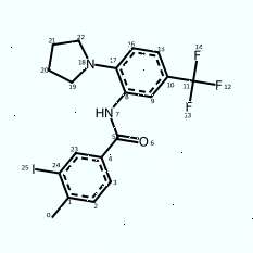 Cc1ccc(C(=O)Nc2cc(C(F)(F)F)ccc2N2CCCC2)cc1I